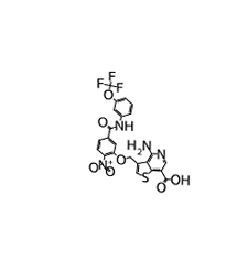 Nc1ncc(C(=O)O)c2scc(COc3cc(C(=O)Nc4cccc(OC(F)(F)F)c4)ccc3[N+](=O)[O-])c12